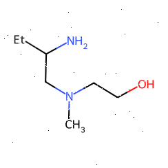 CCC(N)CN(C)CCO